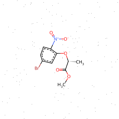 COC(=O)[C@@H](C)Oc1cc(Br)ccc1[N+](=O)[O-]